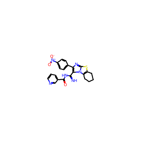 N=C(NC(=O)c1cccnc1)c1c(-c2ccc([N+](=O)[O-])cc2)nc2sc3c(n12)CCCC3